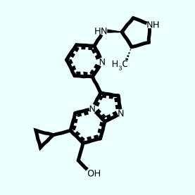 C[C@H]1CNC[C@@H]1Nc1cccc(-c2cnc3cc(CO)c(C4CC4)cn23)n1